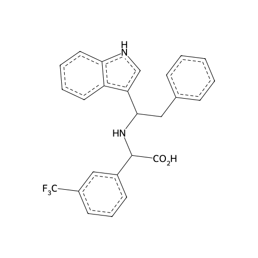 O=C(O)C(NC(Cc1ccccc1)c1c[nH]c2ccccc12)c1cccc(C(F)(F)F)c1